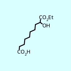 CCOC(=O)C(O)CCCCCCCC(=O)O